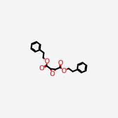 O=C(OCCc1ccccc1)C1OC1C(=O)OCCc1ccccc1